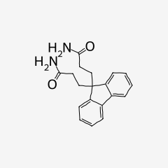 NC(=O)CCC1(CCC(N)=O)c2ccccc2-c2ccccc21